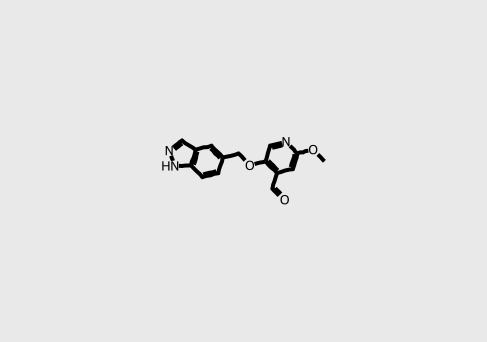 COc1cc(C=O)c(OCc2ccc3[nH]ncc3c2)cn1